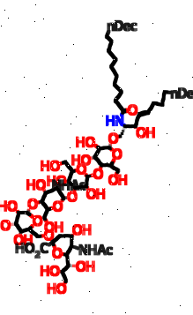 CCCCCCCCCCCCC/C=C/[C@@H](O)[C@H](CO[C@@H]1OC(CO)[C@@H](O[C@@H]2OC(CO)[C@H](O)[C@H](O[C@@H]3OC(CO)[C@@H](O[C@@H]4OC(CO[C@]5(C(=O)O)CC(O)[C@@H](NC(C)=O)C([C@H](O)[C@H](O)CO)O5)[C@H](O)[C@H](O)C4O)[C@H](O)C3NC(C)=O)C2O)[C@H](O)C1O)NC(=O)CCCCCCCCCCCCCCCCCCC